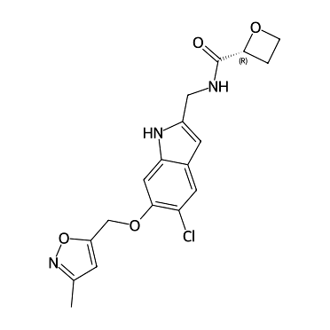 Cc1cc(COc2cc3[nH]c(CNC(=O)[C@H]4CCO4)cc3cc2Cl)on1